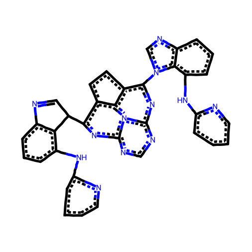 C1=Nc2cccc(Nc3ccccn3)c2C1c1nc2ncnc3nc(-n4cnc5cccc(Nc6ccccn6)c54)c4ccc1c4n23